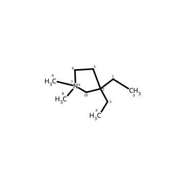 CCC1(CC)CC[N+](C)(C)C1